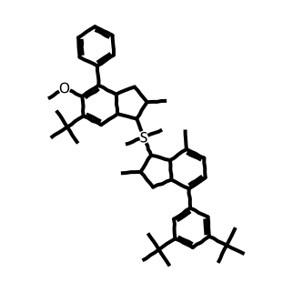 COC1=C(c2ccccc2)C2CC(C)C(S(C)(C)C3C(C)CC4C(c5cc(C(C)(C)C)cc(C(C)(C)C)c5)=CC=C(C)C43)C2C=C1C(C)(C)C